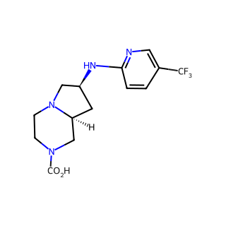 O=C(O)N1CCN2C[C@@H](Nc3ccc(C(F)(F)F)cn3)C[C@H]2C1